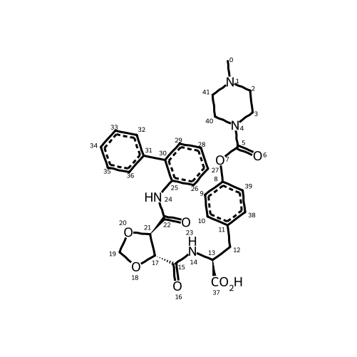 CN1CCN(C(=O)Oc2ccc(C[C@H](NC(=O)[C@@H]3OCO[C@H]3C(=O)Nc3ccccc3-c3ccccc3)C(=O)O)cc2)CC1